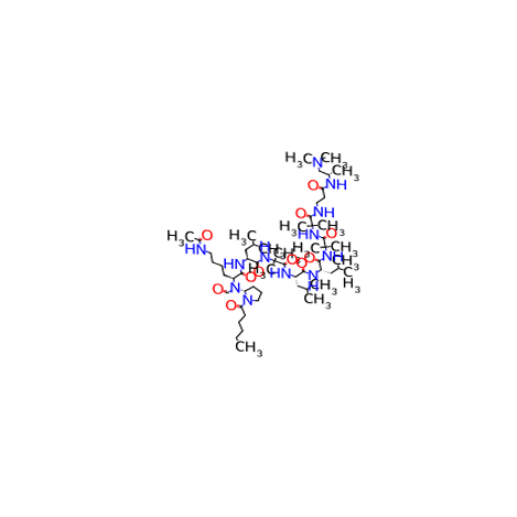 CCCCCC(=O)N1CCC[C@H]1N(C=O)[C@@H](CCCCNC(C)=O)C(=O)N[C@@H](CC(C)C)C(=O)NC(C)(C)C(=O)N[C@@H](CC(C)C)C(=O)N[C@@H](CC(C)C)C(=O)NC(C)(C)C(=O)NC(C)(C)C(=O)NCCC(=O)N[C@@H](C)CN(C)C